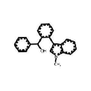 Cn1cc(-c2ccccc2C(O)c2ccccc2)c2ccccc21